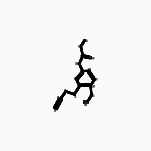 C#CCOc1cc(OC(=O)CC)ccc1CO